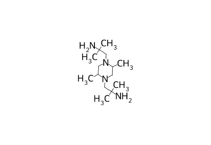 CC1CN(CC(C)(C)N)C(C)CN1CC(C)(C)N